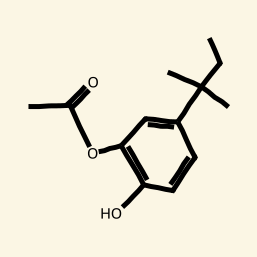 CCC(C)(C)c1ccc(O)c(OC(C)=O)c1